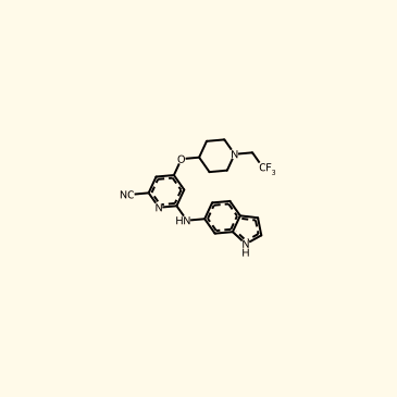 N#Cc1cc(OC2CCN(CC(F)(F)F)CC2)cc(Nc2ccc3cc[nH]c3c2)n1